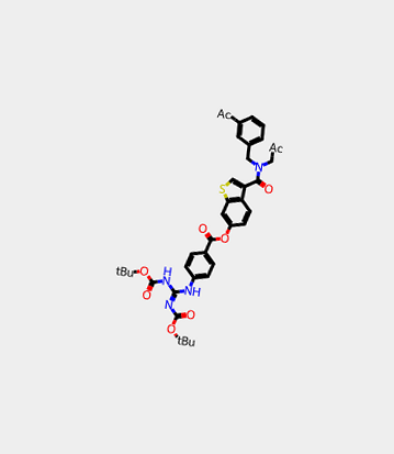 CC(=O)CN(Cc1cccc(C(C)=O)c1)C(=O)c1csc2cc(OC(=O)c3ccc(N/C(=N\C(=O)OC(C)(C)C)NC(=O)OC(C)(C)C)cc3)ccc12